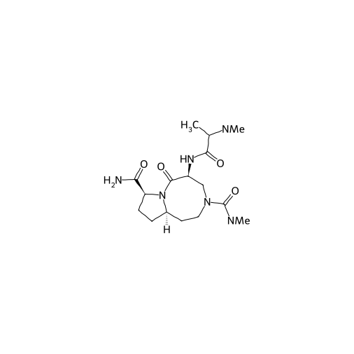 CNC(=O)N1CC[C@H]2CC[C@@H](C(N)=O)N2C(=O)[C@@H](NC(=O)C(C)NC)C1